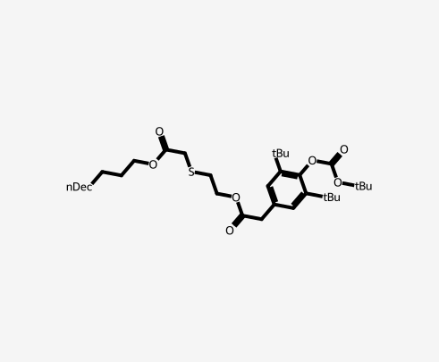 CCCCCCCCCCCCCOC(=O)CSCCOC(=O)Cc1cc(C(C)(C)C)c(OC(=O)OC(C)(C)C)c(C(C)(C)C)c1